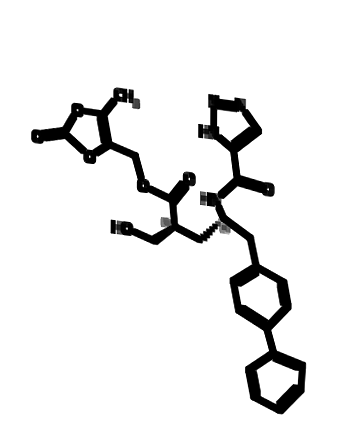 Cc1oc(=O)oc1COC(=O)[C@H](CO)C[C@@H](Cc1ccc(-c2ccccc2)cc1)NC(=O)c1cnn[nH]1